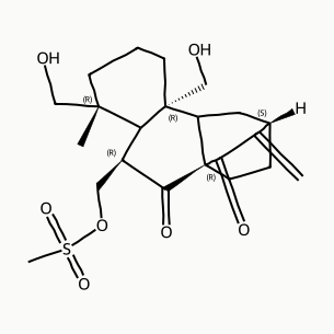 C=C1C(=O)[C@]23CC[C@H]1CC2[C@]1(CO)CCC[C@@](C)(CO)C1[C@H](COS(C)(=O)=O)C3=O